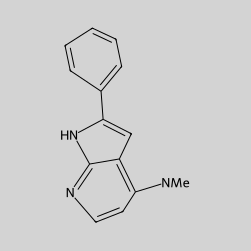 CNc1ccnc2[nH]c(-c3ccccc3)cc12